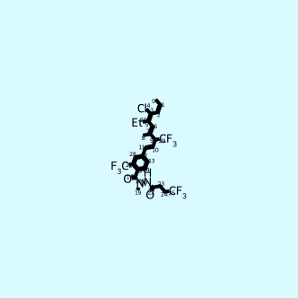 C\C=C/C(Cl)=C(\C=C(/C)C(/C=C/c1ccc(C(=O)N(C)NC(=O)CCC(F)(F)F)c(C(F)(F)F)c1)C(F)(F)F)CC